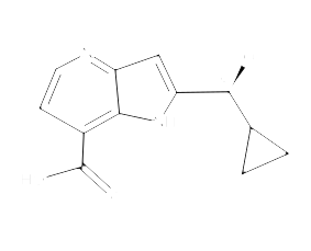 O=C(O)c1ccnc2cc([C@@H](O)C3CC3)[nH]c12